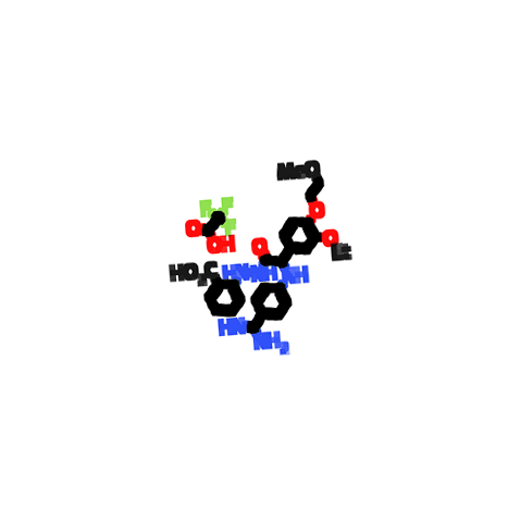 CCOc1cc(C(Nc2ccc(C(=N)N)cc2)C(=O)NNc2ccccc2C(=O)O)ccc1OCCOC.O=C(O)C(F)(F)F